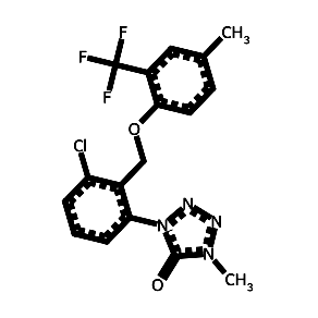 Cc1ccc(OCc2c(Cl)cccc2-n2nnn(C)c2=O)c(C(F)(F)F)c1